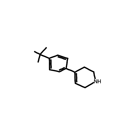 CC(C)(C)c1ccc(C2=CCNCC2)cc1